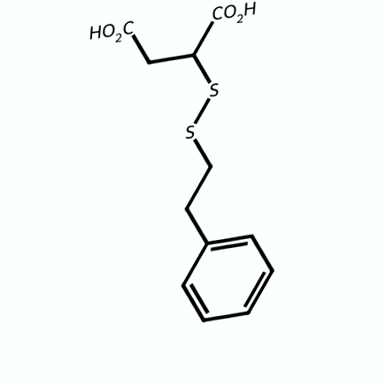 O=C(O)CC(SSCCc1ccccc1)C(=O)O